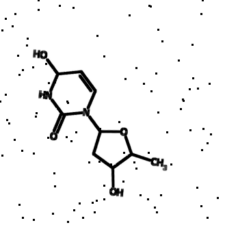 CC1OC(N2C=CC(O)NC2=O)CC1O